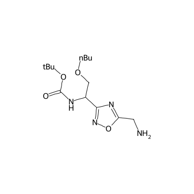 CCCCOCC(NC(=O)OC(C)(C)C)c1noc(CN)n1